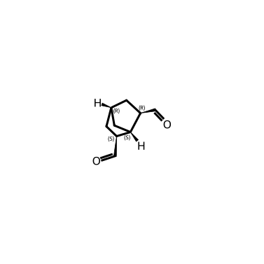 O=C[C@@H]1C[C@@H]2C[C@H]1[C@@H](C=O)C2